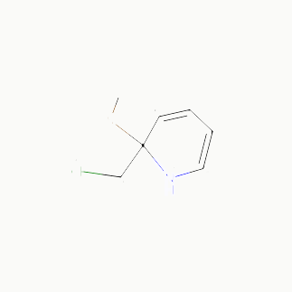 CSC1(CCl)C=CC=CN1